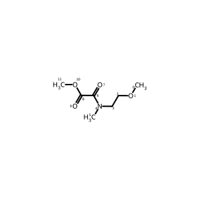 COCCN(C)C(=O)C(=O)OC